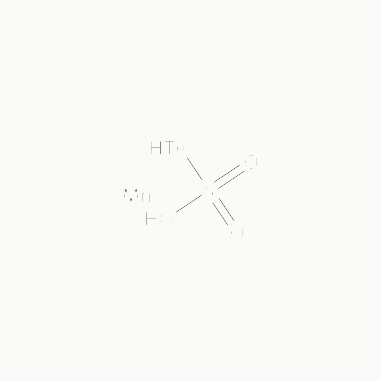 O=S(=O)(O)[TeH].[Mn]